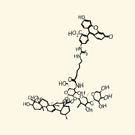 CC1C(O)C(O[C@@H]2OC[C@@H](O)C(O)C2O)[C@@H](C)O[C@H]1OC1C(O)C(NC(=O)CCCCCNC(=S)Nc2ccc(-c3c4ccc(=O)cc-4oc4cc(O)ccc34)c(C(=O)O)c2)[C@@H](CO)O[C@H]1OC(=O)C12CC[C@@H](C)CC1C1=CCC3C4(C)CCC(O)C(C)(C=O)[C@@H]4CC[C@@]3(C)[C@]1(C)C[C@H]2O